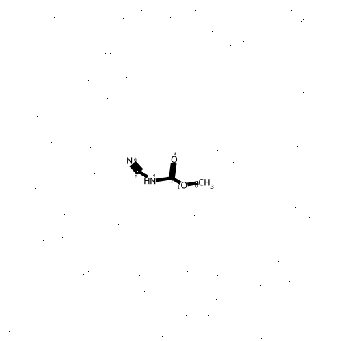 COC(=O)NC#N